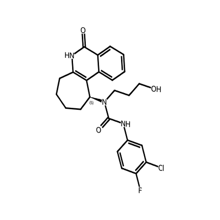 O=C(Nc1ccc(F)c(Cl)c1)N(CCCO)[C@H]1CCCCc2[nH]c(=O)c3ccccc3c21